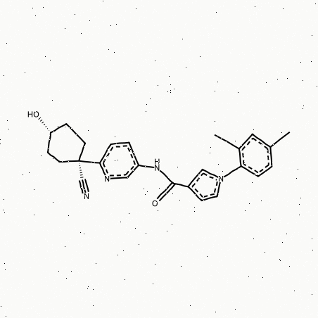 Cc1ccc(-n2ccc(C(=O)Nc3ccc([C@]4(C#N)CC[C@@H](O)CC4)nc3)c2)c(C)c1